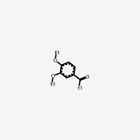 CCOc1ccc(C(=O)CC)cc1OCC